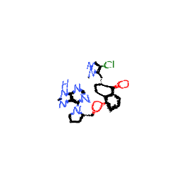 Cn1ncc(Cl)c1C[C@H]1CCc2c(OC[C@H]3CCCN3c3ncnc4[nH]cnc34)cccc2C1=O